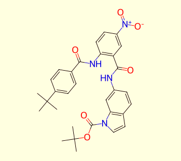 CC(C)(C)OC(=O)n1ccc2ccc(NC(=O)c3cc([N+](=O)[O-])ccc3NC(=O)c3ccc(C(C)(C)C)cc3)cc21